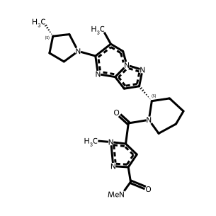 CNC(=O)c1cc(C(=O)N2CCCC[C@H]2c2cc3nc(N4CC[C@H](C)C4)c(C)cn3n2)n(C)n1